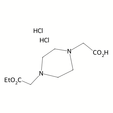 CCOC(=O)CN1CCN(CC(=O)O)CC1.Cl.Cl